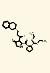 CCOC(OCC)[C@@H]1CCCN1C(=O)[C@H]1NCC(=S)C1C(=O)CC[C@H]1CCc2ccccc2C1